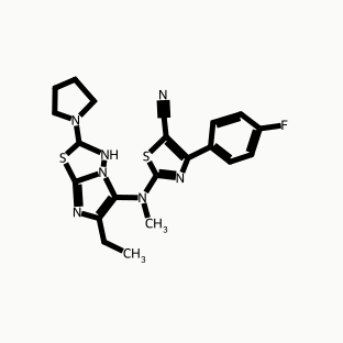 CCc1nc2n(c1N(C)c1nc(-c3ccc(F)cc3)c(C#N)s1)NC(N1CCCC1)S2